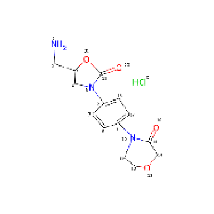 Cl.NCC1CN(c2ccc(N3CCOCC3=O)cc2)C(=O)O1